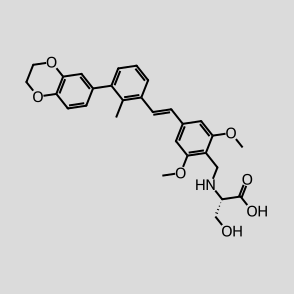 COc1cc(/C=C/c2cccc(-c3ccc4c(c3)OCCO4)c2C)cc(OC)c1CN[C@@H](CO)C(=O)O